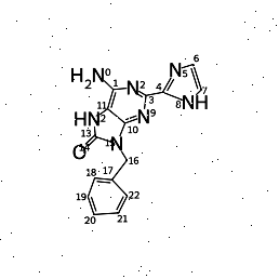 Nc1nc(-c2ncc[nH]2)nc2c1[nH]c(=O)n2Cc1ccccc1